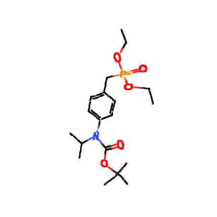 CCOP(=O)(Cc1ccc(N(C(=O)OC(C)(C)C)C(C)C)cc1)OCC